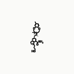 Cc1ccc2c(c1)OCC(C)(C)N([C@H](C)Cc1cc3c(c(C(N)=O)c1)N(CCCO)CC3)CCO2